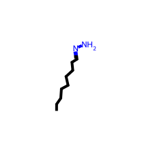 CCCCCCCCC=NN